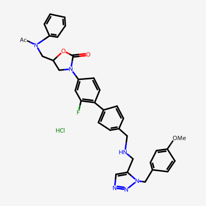 COc1ccc(Cn2nncc2CNCc2ccc(-c3ccc(N4CC(CN(C(C)=O)c5ccccc5)OC4=O)cc3F)cc2)cc1.Cl